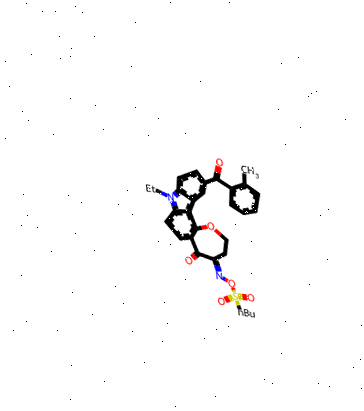 CCCCS(=O)(=O)O/N=C1\CCOc2c(ccc3c2c2cc(C(=O)c4ccccc4C)ccc2n3CC)C1=O